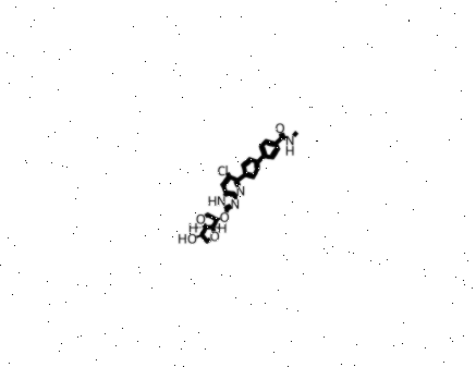 CNC(=O)c1ccc(-c2ccc(-c3nc4nc(O[C@@H]5CO[C@H]6[C@@H]5OC[C@H]6O)[nH]c4cc3Cl)cc2)cc1